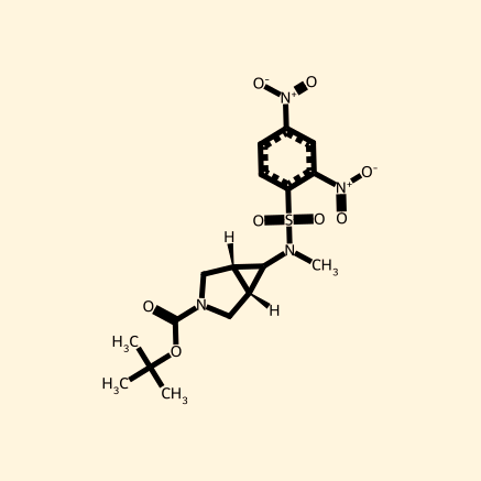 CN(C1[C@H]2CN(C(=O)OC(C)(C)C)C[C@@H]12)S(=O)(=O)c1ccc([N+](=O)[O-])cc1[N+](=O)[O-]